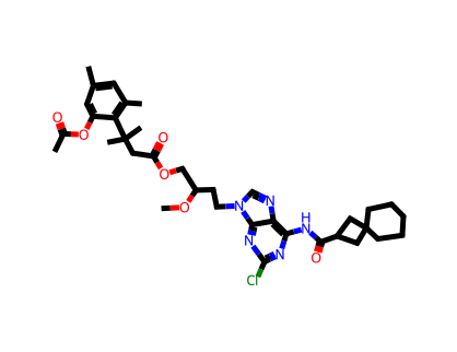 COC(CCn1cnc2c(NC(=O)C3CC4(CCCCC4)C3)nc(Cl)nc21)COC(=O)CC(C)(C)c1c(C)cc(C)cc1OC(C)=O